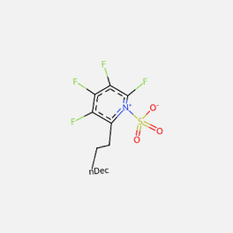 CCCCCCCCCCCCc1c(F)c(F)c(F)c(F)[n+]1S(=O)(=O)[O-]